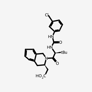 CC(C)(C)[C@H](NC(=O)Nc1cccc(Cl)c1)C(=O)N1Cc2ccccc2C[C@@H]1CC(=O)O